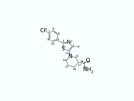 Cc1nc(-c2ccc(Cl)cc2)sc1N1CCCC(C(N)=O)C1